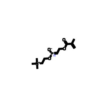 C=C(C)C(=O)OC/C=[P+](\[O-])OCC[N+](C)(C)C